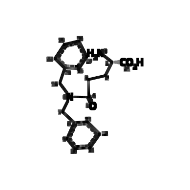 N[C@@H](CCC(=O)N(Cc1ccccc1)Cc1ccccc1)C(=O)O